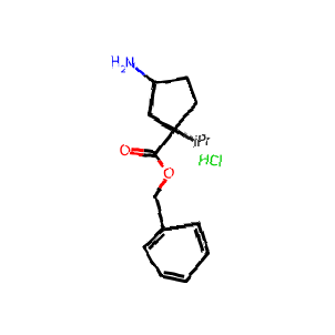 CC(C)C1(C(=O)OCc2ccccc2)CCC(N)C1.Cl